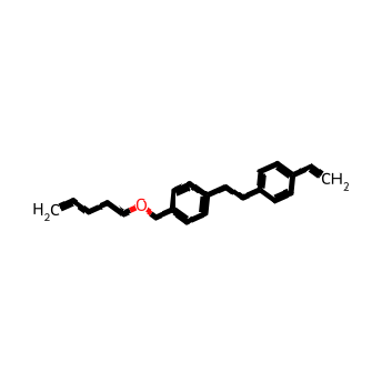 C=CCCCOCc1ccc(CCc2ccc(C=C)cc2)cc1